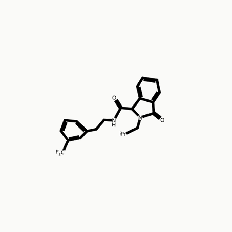 CC(C)CN1C(=O)c2ccccc2C1C(=O)NCCc1cccc(C(F)(F)F)c1